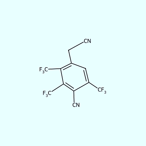 N#CCc1cc(C(F)(F)F)c(C#N)c(C(F)(F)F)c1C(F)(F)F